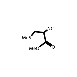 [C-]#[N+]C(CSC)C(=O)OC